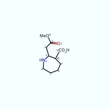 COC(=O)CC1NCCCCC1C(=O)O